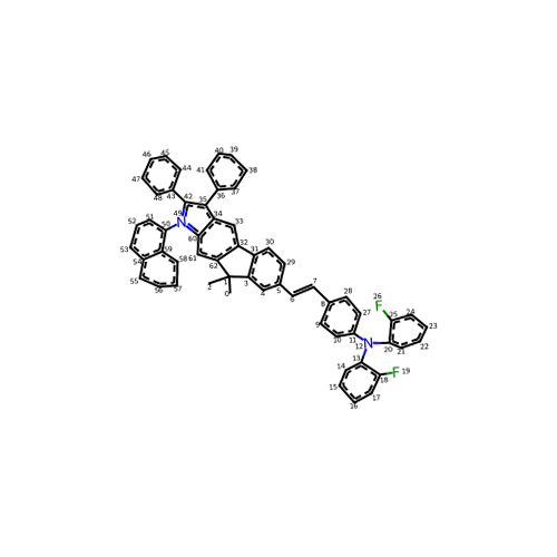 CC1(C)c2cc(/C=C/c3ccc(N(c4ccccc4F)c4ccccc4F)cc3)ccc2-c2cc3c(-c4ccccc4)c(-c4ccccc4)n(-c4cccc5ccccc45)c3cc21